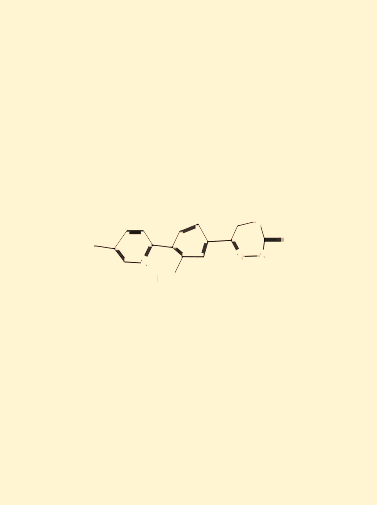 O=C1NN=C(c2ccc(-c3ccc(Cl)cn3)c(C(F)(F)F)c2)CO1